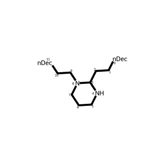 CCCCCCCCCCCCC1NCCCN1CCCCCCCCCCCC